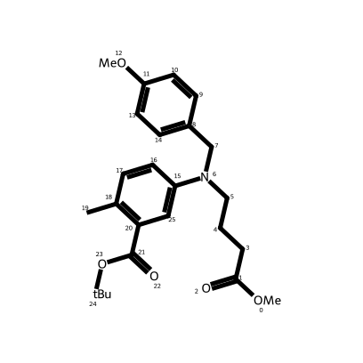 COC(=O)CCCN(Cc1ccc(OC)cc1)c1ccc(C)c(C(=O)OC(C)(C)C)c1